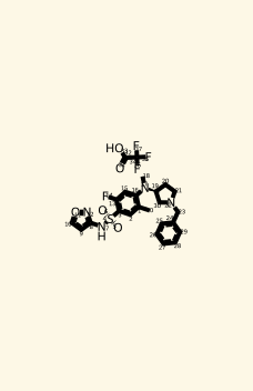 Cc1cc(S(=O)(=O)Nc2ccon2)c(F)cc1N(C)[C@H]1CCN(Cc2ccccc2)C1.O=C(O)C(F)(F)F